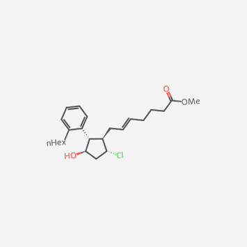 CCCCCCc1ccccc1[C@@H]1[C@@H](CC=CCCCC(=O)OC)[C@H](Cl)C[C@H]1O